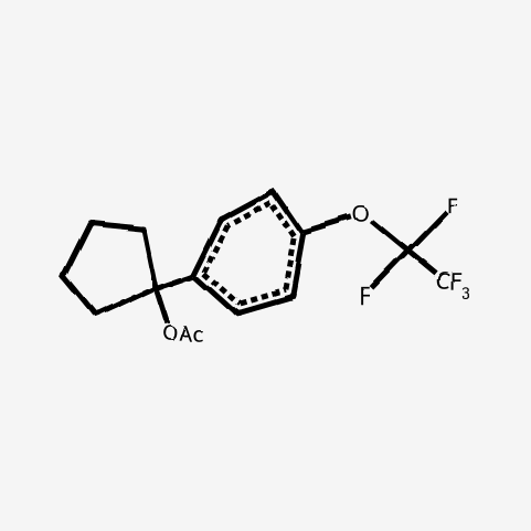 CC(=O)OC1(c2ccc(OC(F)(F)C(F)(F)F)cc2)CCCC1